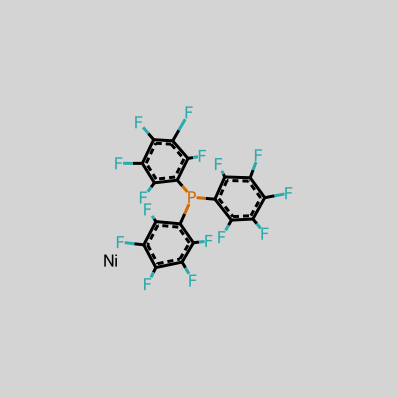 Fc1c(F)c(F)c(P(c2c(F)c(F)c(F)c(F)c2F)c2c(F)c(F)c(F)c(F)c2F)c(F)c1F.[Ni]